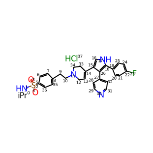 CC(C)NS(=O)(=O)c1ccc(CCN2CC=C(c3c[nH]c(-c4ccc(F)cc4)c3-c3ccncc3)CC2)cc1.Cl